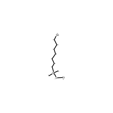 CCO[Si](C)(C)CCCCCCCS